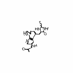 CC(=O)Nc1cnc2[nH]cc(/C=C3\NC(=S)NC3=O)c2c1